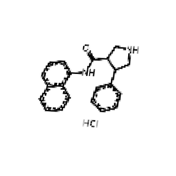 Cl.O=C(Nc1cccc2ccccc12)C1CNCC1c1ccccc1